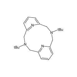 CC(C)(C)N1Cc2cccc(n2)CN(C(C)(C)C)Cc2cccc(n2)C1